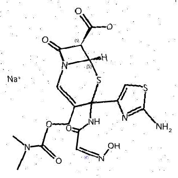 CN(C)C(=O)OCC1=CN2C(=O)[C@@H](C(=O)[O-])[C@@H]2SC1(NC(=O)/C=N\O)c1csc(N)n1.[Na+]